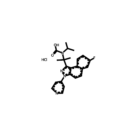 CC(C)N(C(=O)O)C(C)(C)c1nn(-c2ccncc2)c2ccc3cc(F)ccc3c12.Cl